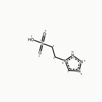 O=S(=O)(O)CCn1[c]nnn1